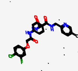 O=C(COc1ccc(Cl)c(F)c1)NC12CCC(C(=O)NCc3ccc(C(F)(F)F)cn3)(CC1)C(=O)N2